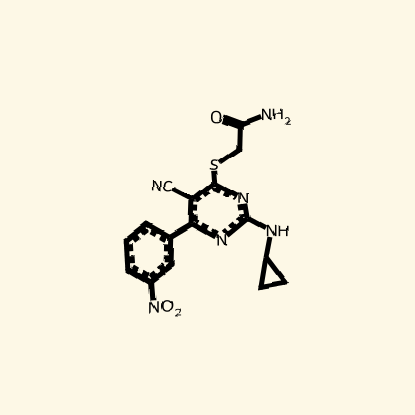 N#Cc1c(SCC(N)=O)nc(NC2CC2)nc1-c1cccc([N+](=O)[O-])c1